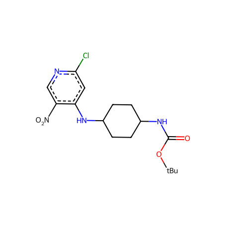 CC(C)(C)OC(=O)NC1CCC(Nc2cc(Cl)ncc2[N+](=O)[O-])CC1